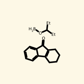 BOC(CC)CC.O=C1C2=C(CCCC2)c2ccccc21